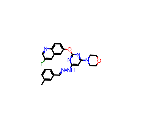 Cc1cccc(/C=N/Nc2cc(N3CCOCC3)nc(Oc3ccc4ncc(F)cc4c3)n2)c1